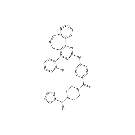 O=C(c1ccc(Nc2nc(-c3ccccc3F)c3c(n2)-c2ccccc2C=NC3)cc1)N1CCN(C(=O)c2ccco2)CC1